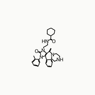 C=C(c1c(-c2ccccc2)n(-c2ccccc2C)c(=O)n1CCNC(=O)C1CCCCC1)N1CCNCC1